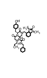 C=CCN1CC(=O)N2[C@@H](Cc3ccc(O)cc3)C(=O)N(Cc3cccc4c3n(C)c(=O)n4C)C[C@@H]2N1C(=O)NCc1ccccc1